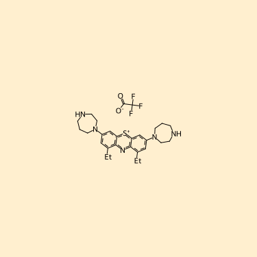 CCc1cc(N2CCCNCC2)cc2[s+]c3cc(N4CCCNCC4)cc(CC)c3nc12.O=C([O-])C(F)(F)F